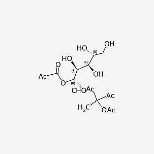 CC(=O)C(=O)O[C@@H](C=O)[C@@H](O)[C@H](O)[C@H](O)CO.CC(=O)OC(C)(C(C)=O)C(C)=O